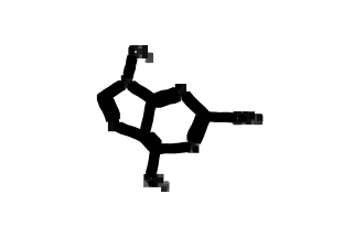 COc1nc(N)c2ncn(C)c2n1